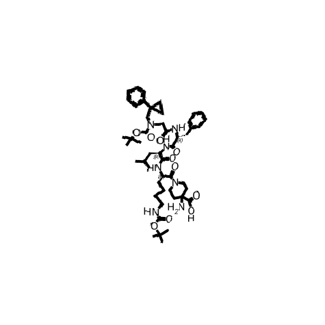 CC(C)C[C@@H](NC(=O)[C@@H](Cc1ccccc1)NC(=O)CN(CC1(c2ccccc2)CC1)C(=O)OC(C)(C)C)C(=O)N[C@H](CCCCNC(=O)OC(C)(C)C)C(=O)N1CCC(N)(C(=O)O)CC1